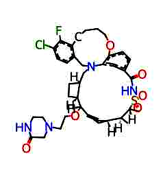 C[C@@H]1[C@@H](C)S(=O)(=O)NC(=O)c2ccc3c(c2)N(Cc2ccc(Cl)c(F)c2CCCCO3)C[C@@H]2CC[C@H]2[C@@H](OCCN2CCNC(=O)C2)C2=C[C@H]1C2